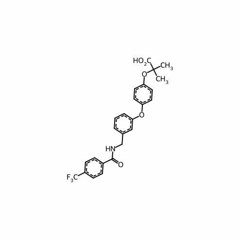 CC(C)(Oc1ccc(Oc2cccc(CNC(=O)c3ccc(C(F)(F)F)cc3)c2)cc1)C(=O)O